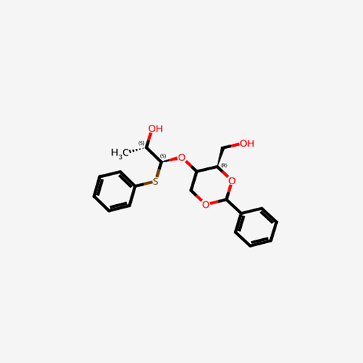 C[C@H](O)[C@@H](OC1COC(c2ccccc2)O[C@@H]1CO)Sc1ccccc1